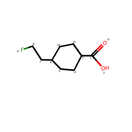 O=C(O)C1CCC(CCF)CC1